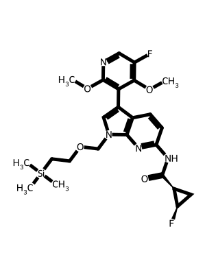 COc1ncc(F)c(OC)c1-c1cn(COCC[Si](C)(C)C)c2nc(NC(=O)[C@H]3C[C@H]3F)ccc12